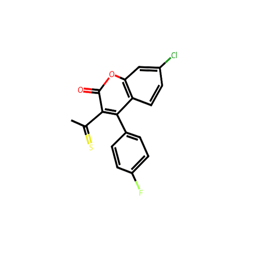 CC(=S)c1c(-c2ccc(F)cc2)c2ccc(Cl)cc2oc1=O